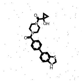 O=C(c1ccc(-c2ccc3c(c2)SCN3)cc1)N1CCN(C(=O)C2(O)CC2)CC1